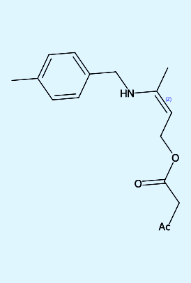 CC(=O)CC(=O)OC/C=C(/C)NCc1ccc(C)cc1